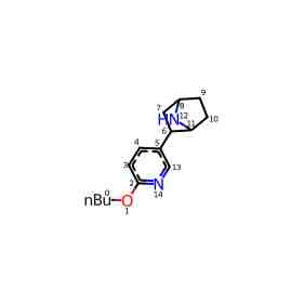 CCCCOc1ccc(C2CC3CCC2N3)cn1